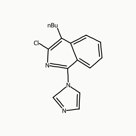 CCCCc1c(Cl)nc(-n2ccnc2)c2ccccc12